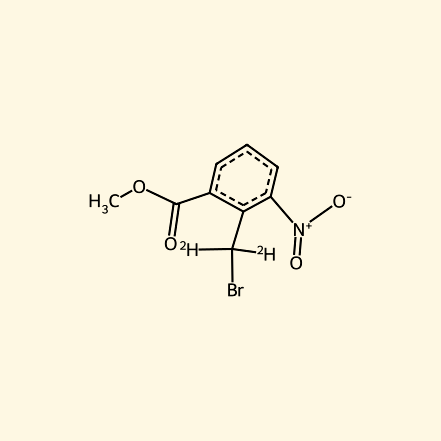 [2H]C([2H])(Br)c1c(C(=O)OC)cccc1[N+](=O)[O-]